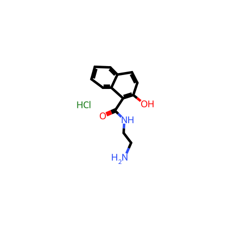 Cl.NCCNC(=O)c1c(O)ccc2ccccc12